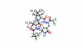 CC1(C)C[C@@H](CN(NC(=O)[C@@H]2[C@@H]3[C@H](CN2C(=O)[C@@H](NC(=O)[C@@H]2CC2(F)F)C(C)(C)C)C3(C)C)C(=O)[C@H](F)Cl)C(=O)N1